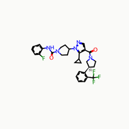 O=C(Nc1ccccc1F)N1CCC(n2ncc(C(=O)N3CC[C@@H](c4ccccc4C(F)(F)F)C3)c2C2CC2)CC1